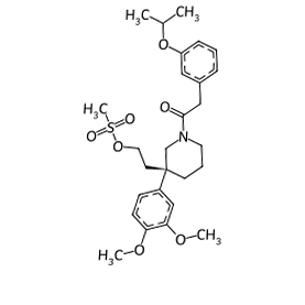 COc1ccc([C@@]2(CCOS(C)(=O)=O)CCCN(C(=O)Cc3cccc(OC(C)C)c3)C2)cc1OC